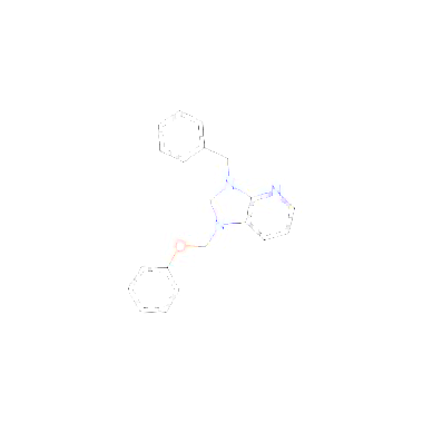 c1ccc(CN2CN(COc3ccccc3)c3cccnc32)cc1